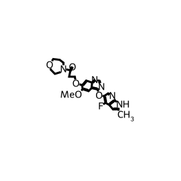 COc1cc2c(Oc3cnc4[nH]c(C)cc4c3F)ncnc2cc1OCCC(=O)N1CCCOCCC1